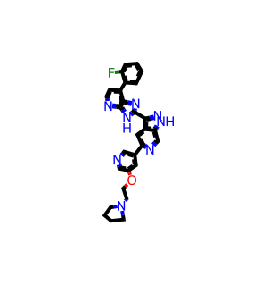 Fc1ccccc1-c1ccnc2[nH]c(-c3n[nH]c4cnc(-c5cncc(OCCN6CCCC6)c5)cc34)nc12